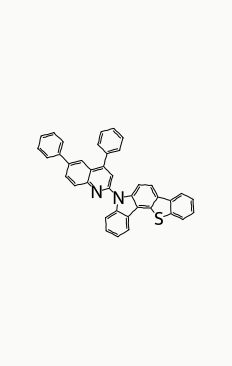 c1ccc(-c2ccc3nc(-n4c5ccccc5c5c6sc7ccccc7c6ccc54)cc(-c4ccccc4)c3c2)cc1